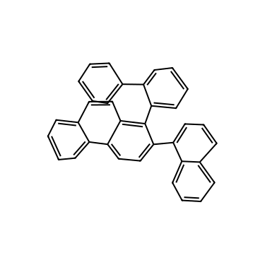 c1ccc(-c2ccccc2-c2c(-c3cccc4ccccc34)ccc3c2ccc2ccccc23)cc1